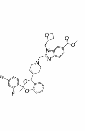 COC(=O)c1ccc2nc(CN3CC=C(C4OC(C)(c5ccc(C#N)cc5F)Oc5ccccc54)CC3)n(C[C@@H]3CCO3)c2c1